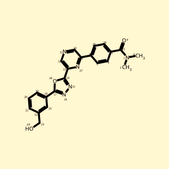 CN(C)C(=O)c1ccc(-c2cncc(-c3nnc(-c4cccc(CO)c4)o3)n2)cc1